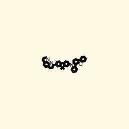 CC1(C)c2cc(-c3ccc4ccc5cccnc5c4n3)ccc2-c2ccc(-n3c4ccccc4c4c5oc6ccccc6c5ccc43)cc21